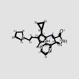 Cc1[nH]c(/C=C2/C(=O)NN=C2c2cnccn2)c(C2CC2)c1CCN1CCCC1